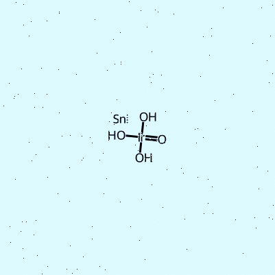 [O]=[Ir]([OH])([OH])[OH].[Sn]